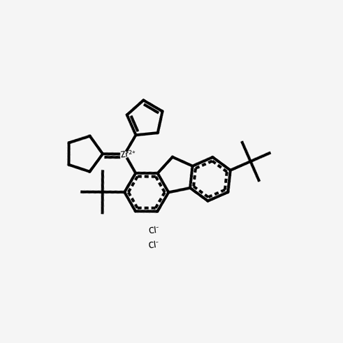 CC(C)(C)c1ccc2c(c1)Cc1c-2ccc(C(C)(C)C)[c]1[Zr+2]([C]1=CC=CC1)=[C]1CCCC1.[Cl-].[Cl-]